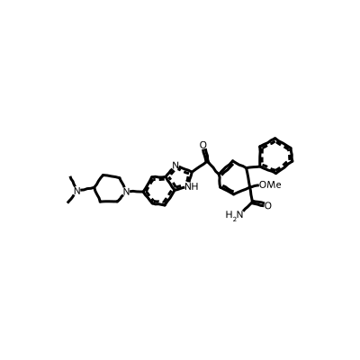 COC1(C(N)=O)C=CC(C(=O)c2nc3cc(N4CCC(N(C)C)CC4)ccc3[nH]2)=CC1c1ccccc1